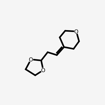 C(CC1OCCO1)=C1CCOCC1